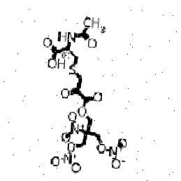 CC(=O)N[C@@H](CSCC(=O)C(=O)OCC(CO[N+](=O)[O-])(CO[N+](=O)[O-])[N+](=O)[O-])C(=O)O